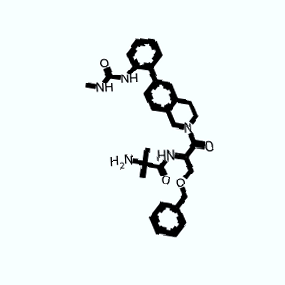 CNC(=O)Nc1ccccc1-c1ccc2c(c1)CCN(C(=O)C(COCc1ccccc1)NC(=O)C(C)(C)N)C2